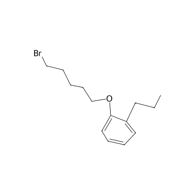 CCCc1ccccc1OCCCCCBr